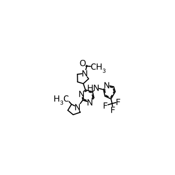 CC(=O)N1CCC(c2nc(N3CCCC3C)ncc2Nc2cc(C(F)(F)F)ccn2)C1